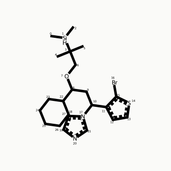 C[SiH](C)C(C)(C)COC(CC(c1ccsc1Br)n1ccnc1)C1CCCCC1